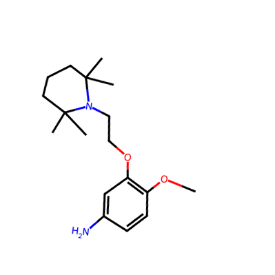 COc1ccc(N)cc1OCCN1C(C)(C)CCCC1(C)C